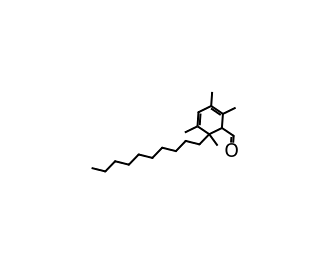 CCCCCCCCCCC1(C)C(C)=CC(C)=C(C)C1C=O